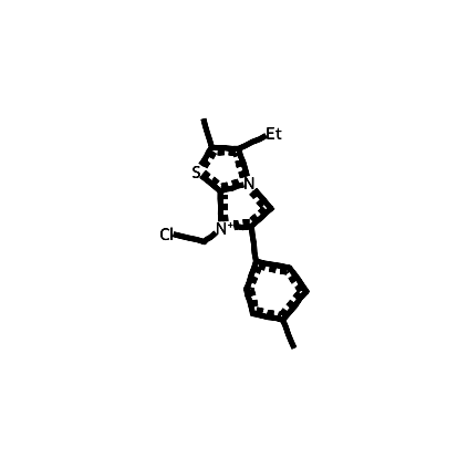 CCc1c(C)sc2n1cc(-c1ccc(C)cc1)[n+]2CCl